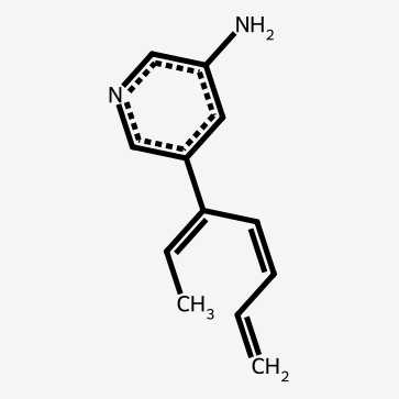 C=C/C=C\C(=C/C)c1cncc(N)c1